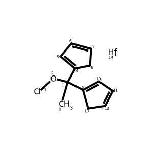 CC(OCl)(C1=CC=CC1)C1=CC=CC1.[Hf]